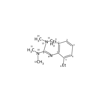 CCc1cccc(CC)c1N=C(N(C)C)N(C)C